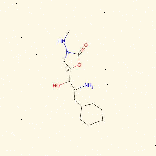 CNN1C[C@@H](C(O)C(N)CC2CCCCC2)OC1=O